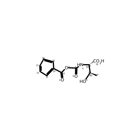 C[C@@H](O)[C@H](NC(=O)OC(=O)c1ccccc1)C(=O)O